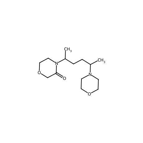 CC(CCC(C)N1CCOCC1=O)N1CCOCC1